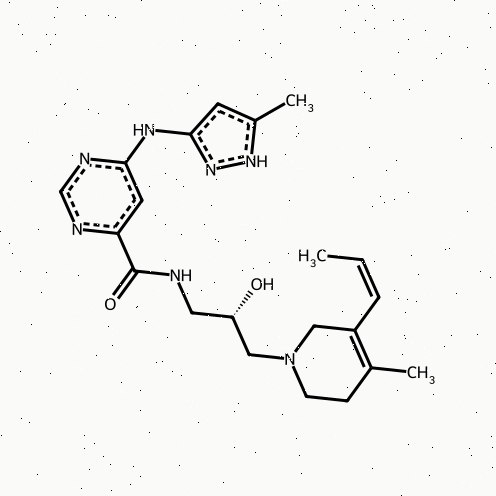 C/C=C\C1=C(C)CCN(C[C@@H](O)CNC(=O)c2cc(Nc3cc(C)[nH]n3)ncn2)C1